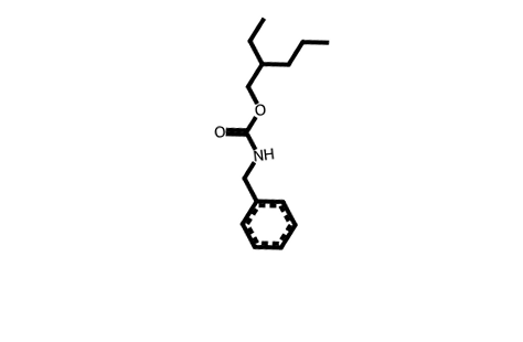 CCCC(CC)COC(=O)NCc1ccccc1